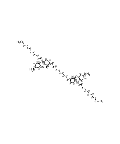 CCCCCCCCCCCCC(c1ccc(CCCCCCCCCCc2ccc(C(CCCCCCCCCCCC)c3ccc(N)cc3C)cc2)cc1)c1ccc(N)cc1C